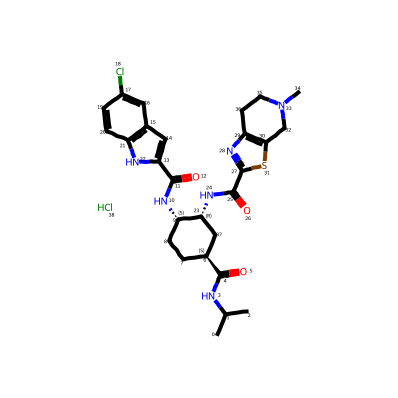 CC(C)NC(=O)[C@H]1CC[C@H](NC(=O)c2cc3cc(Cl)ccc3[nH]2)[C@H](NC(=O)c2nc3c(s2)CN(C)CC3)C1.Cl